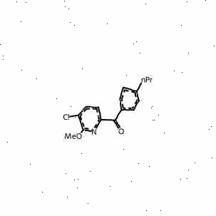 CCCc1ccc(C(=O)c2ccc(Cl)c(OC)n2)cc1